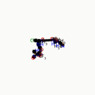 Cc1ncsc1-c1ccc([C@H](C)NC(=O)[C@@H]2CCCN2C(=O)[C@@H](NC(=O)CCCCCCCCCC(=O)NCC2(C)CCC(c3ccc(Cl)cc3)=C(CN3CCN(c4ccc(C(=O)NSc5ccc(N[C@H](CCN6CCOCC6)CSc6ccccc6)c(S(=O)(=O)C(F)(F)F)c5)cc4)CC3)C2)C(C)(C)C)cc1